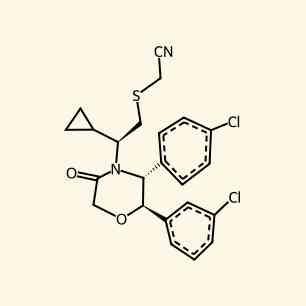 N#CCSC[C@H](C1CC1)N1C(=O)CO[C@H](c2cccc(Cl)c2)[C@H]1c1ccc(Cl)cc1